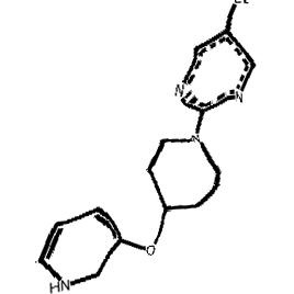 CCc1cnc(N2CCC(OC3=CC=[C]NC3)CC2)nc1